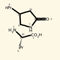 CC(C)[C@H](N)C(=O)O.CCCC1CNC(=O)C1